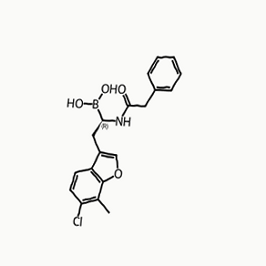 Cc1c(Cl)ccc2c(C[C@H](NC(=O)Cc3ccccc3)B(O)O)coc12